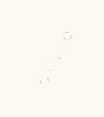 O=C(CC1(O)CCC(CC(=O)N2CCN(c3ccncc3)CC2)CC1)OC(=O)C(F)(F)F